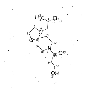 CC(C)CN1CCSC12CCN(C(=O)CCO)CC2